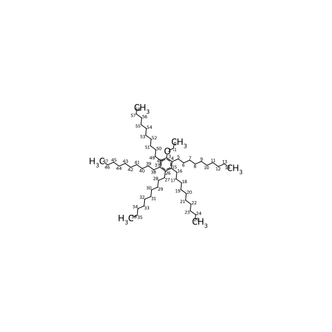 C[CH]Oc1c(CCCCCCCCCC)c(CCCCCCCCCC)c(CCCCCCCCCC)c(CCCCCCCCCC)c1CCCCCCCCCC